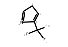 FC(F)(F)C1=CCC=N1